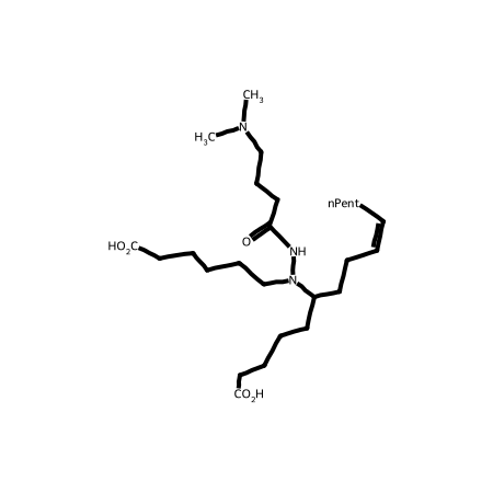 CCCCC/C=C\CCC(CCCCC(=O)O)N(CCCCCC(=O)O)NC(=O)CCCN(C)C